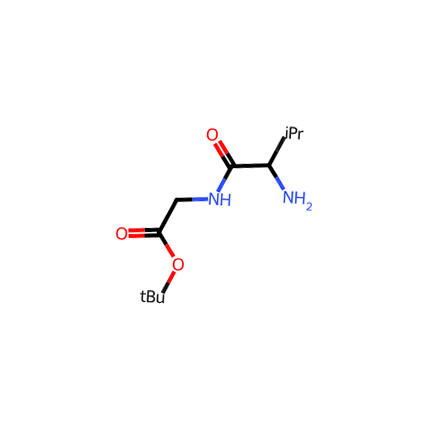 CC(C)C(N)C(=O)NCC(=O)OC(C)(C)C